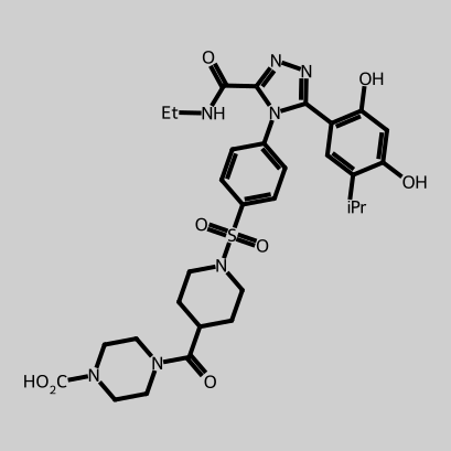 CCNC(=O)c1nnc(-c2cc(C(C)C)c(O)cc2O)n1-c1ccc(S(=O)(=O)N2CCC(C(=O)N3CCN(C(=O)O)CC3)CC2)cc1